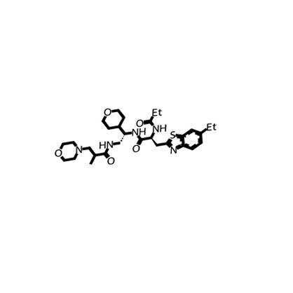 CCC(=O)N[C@@H](Cc1nc2ccc(CC)cc2s1)C(=O)N[C@H](CNC(=O)C(C)CN1CCOCC1)C1CCOCC1